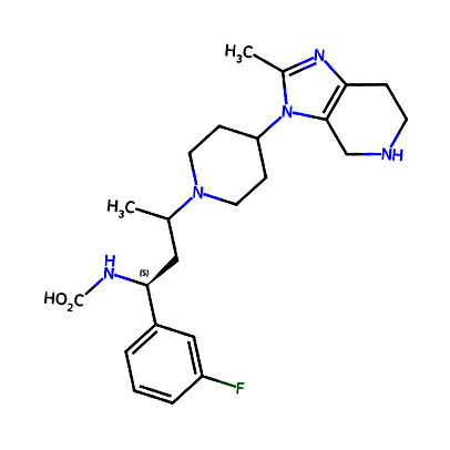 Cc1nc2c(n1C1CCN(C(C)C[C@H](NC(=O)O)c3cccc(F)c3)CC1)CNCC2